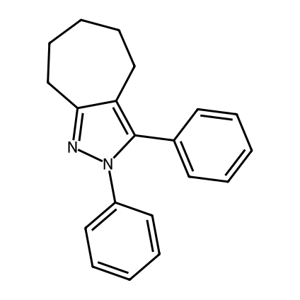 c1ccc(-c2c3c(nn2-c2ccccc2)CCCCC3)cc1